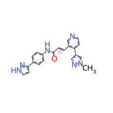 Cn1cc(-c2ccncc2/C=C/C(=O)Nc2ccc(-c3cc[nH]n3)cc2)cn1